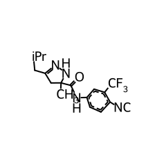 [C-]#[N+]c1ccc(NC(=O)C2(C)CC(CC(C)C)=NN2)cc1C(F)(F)F